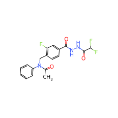 CC(=O)N(Cc1ccc(C(=O)NNC(=O)C(F)F)cc1F)c1ccccc1